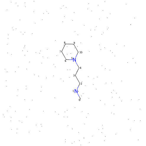 C[N]CCCN1CCCCC1